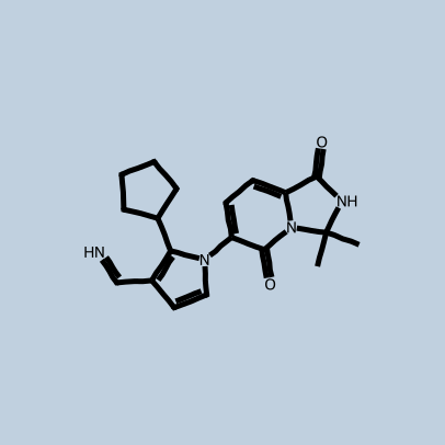 CC1(C)NC(=O)c2ccc(-n3ccc(C=N)c3C3CCCC3)c(=O)n21